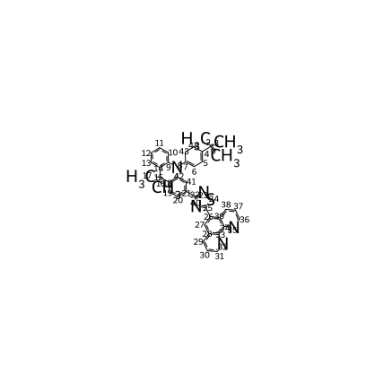 CC(C)(C)C1=CC=C(N2c3ccccc3C(C)(C)c3ccc(-c4nsc(-c5cc6cccnc6c6ncccc56)n4)cc32)CC1